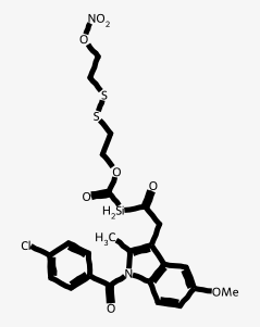 COc1ccc2c(c1)c(CC(=O)[SiH2]C(=O)OCCSSCCO[N+](=O)[O-])c(C)n2C(=O)c1ccc(Cl)cc1